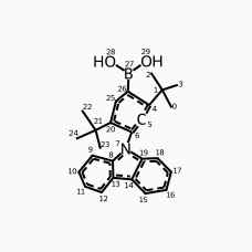 CC(C)(C)c1cc(-n2c3ccccc3c3ccccc32)c(C(C)(C)C)cc1B(O)O